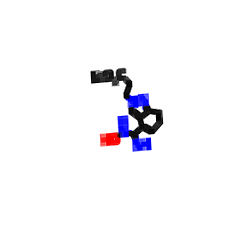 CCOC(=O)CCn1cc2c(C(=N)NO)cccc2n1